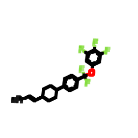 CCCC=CC1CCC(c2ccc(C(F)(F)Oc3cc(F)c(F)c(F)c3)cc2)CC1